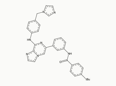 CC(C)(C)c1ccc(C(=O)Nc2cccc(-c3cn4ccnc4c(Nc4ccc(Cn5ccnc5)cc4)n3)c2)cc1